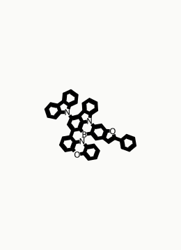 c1ccc(-c2cc3cc4c(cc3o2)-n2c3ccccc3c3c(-n5c6ccccc6c6ccccc65)cc5c(c32)B4N2c3ccccc3Oc3cccc-5c32)cc1